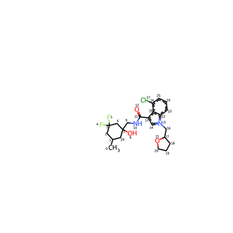 CC1CC(F)(F)CC(O)(CNC(=O)c2cn(CC3CCCO3)c3cccc(Cl)c23)C1